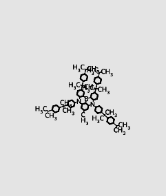 Cc1cc2c3c(c1)N(c1ccc(C(C)(C)c4ccc(C(C)C)cc4)cc1)c1ccc(C(C)(C)c4ccc(C(C)C)cc4)cc1B3c1cc(C(C)(C)c3ccc(C(C)C)cc3)ccc1N2c1ccc(C(C)(C)c2ccc(C(C)C)cc2)cc1